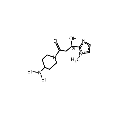 CCN(CC)C1CCN(C(=O)C[C@@H](O)c2nccn2C)CC1